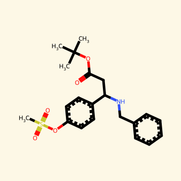 CC(C)(C)OC(=O)CC(NCc1ccccc1)c1ccc(OS(C)(=O)=O)cc1